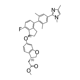 COC(=O)C[C@@H]1COc2cc(O[C@@H]3CCc4c(-c5c(C)cc(-c6nc(C)cn6C)cc5C)ccc(F)c43)ccc21